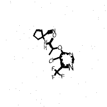 CC(Oc1ncnc(C(F)(F)F)c1Cl)C(=O)NC1(C#N)CCCC1